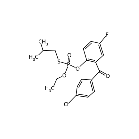 CCOP(=O)(Oc1ccc(F)cc1C(=O)c1ccc(Cl)cc1)SCC(C)C